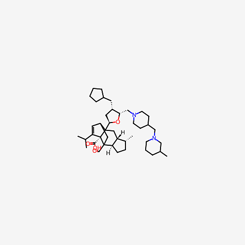 CC1CCCN(CC2CCN(C[C@@H]3O[C@@H](C45C[C@@H]6[C@H](C)CC[C@H]6C6(C=O)CC4C=C(C(C)C)[C@]65C(=O)O)C[C@@H]3CC3CCCC3)CC2)C1